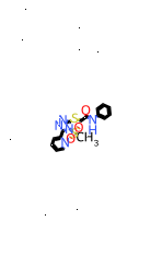 CS(=O)(=O)n1c(SCC(=O)Nc2ccccc2)nnc1-c1ccccn1